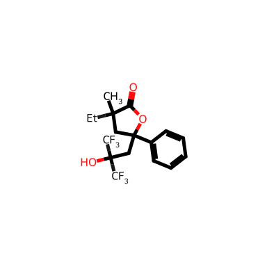 CCC1(C)CC(CC(O)(C(F)(F)F)C(F)(F)F)(c2ccccc2)OC1=O